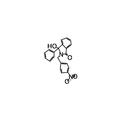 O=C1c2ccccc2C(O)(c2ccccc2)N1Cc1ccc([N+](=O)[O-])cc1